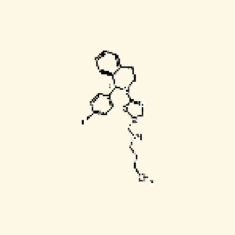 CCCCNC[C@H]1CN=C(N2CCc3ccccc3[C@@H]2c2ccc(F)cc2)O1